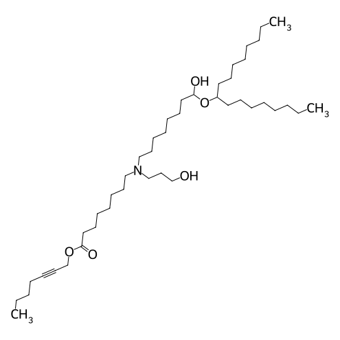 CCCCC#CCOC(=O)CCCCCCCN(CCCO)CCCCCCCC(O)OC(CCCCCCCC)CCCCCCCC